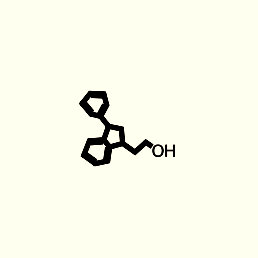 OCCC1CC(c2ccccc2)c2ccccc21